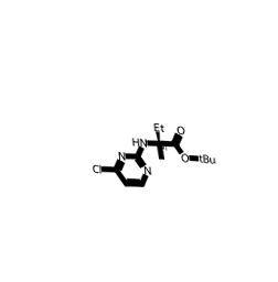 CC[C@@](C)(Nc1nccc(Cl)n1)C(=O)OC(C)(C)C